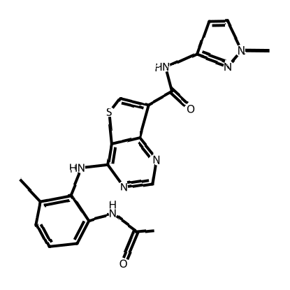 CC(=O)Nc1cccc(C)c1Nc1ncnc2c(C(=O)Nc3ccn(C)n3)csc12